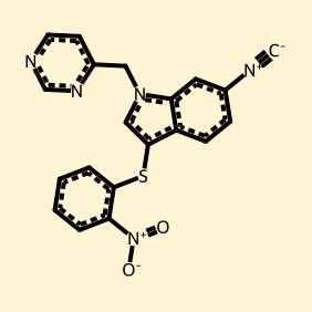 [C-]#[N+]c1ccc2c(Sc3ccccc3[N+](=O)[O-])cn(Cc3ccncn3)c2c1